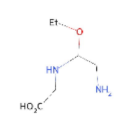 CCOC(CN)NCC(=O)O